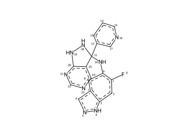 Fc1cc2[nH]ncc2cc1NC1(c2cccnc2)NNc2ncncc21